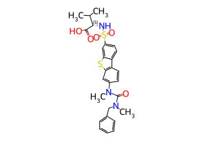 CC(C)[C@H](NS(=O)(=O)c1ccc2c(c1)sc1cc(N(C)C(=O)N(C)Cc3ccccc3)ccc12)C(=O)O